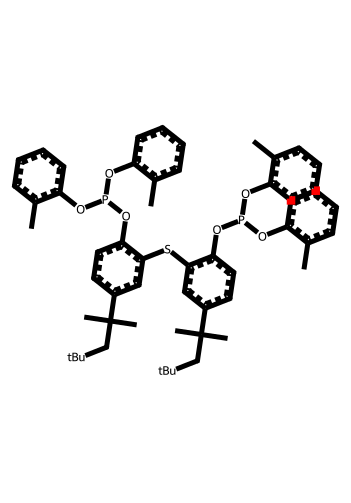 Cc1ccccc1OP(Oc1ccccc1C)Oc1ccc(C(C)(C)CC(C)(C)C)cc1Sc1cc(C(C)(C)CC(C)(C)C)ccc1OP(Oc1ccccc1C)Oc1ccccc1C